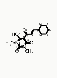 Cn1c(O)c(C(=O)/C=C/C2CCCCC2)c(=O)n(C)c1=O